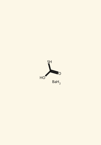 O=C(O)S.[BaH2]